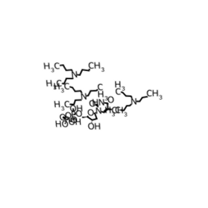 CCCCN(CCCC)CCCC.CCCCN(CCCC)CCCC.CCCCN(CCCC)CCCC.Cc1cn([C@H]2C[C@H](O)[C@@H](COP(=O)(O)OP(=O)(O)O)O2)c(=O)[nH]c1=O